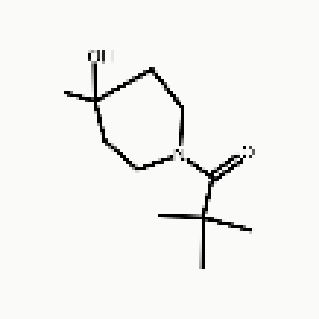 CC1(O)CCN(C(=O)C(C)(C)C)CC1